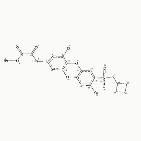 CC(C)OC(=O)C(=O)Nc1cc(Cl)c(Oc2ccc(O)c(S(=O)(=O)CC3CCC3)c2)c(Cl)c1